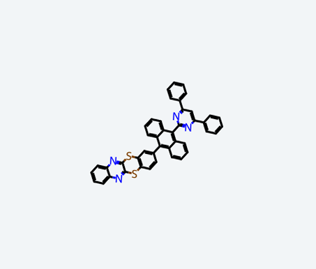 c1ccc(-c2cc(-c3ccccc3)nc(-c3c4ccccc4c(-c4ccc5c(c4)Sc4nc6ccccc6nc4S5)c4ccccc34)n2)cc1